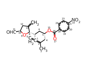 C=C=C(C)C[C@H](CC[C@@H]1O[C@@H](C=O)CC1=C)OC(=O)c1ccc([N+](=O)[O-])cc1